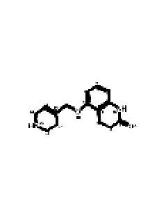 O=C1CCc2c(cccc2OCC2=CCNCC2)N1